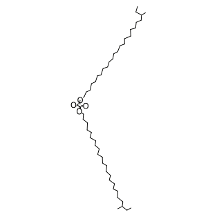 CCC(C)CCCCCCCCCCCCCCCCCCCCCOS(=O)(=O)OCCCCCCCCCCCCCCCCCCCCCC(C)CC